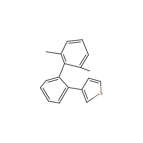 Cc1cccc(C)c1-c1ccccc1-c1ccsc1